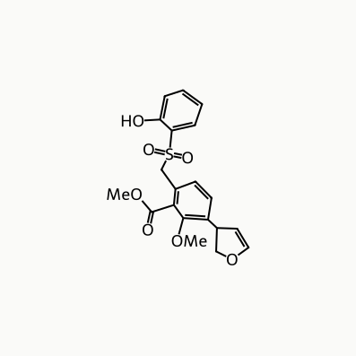 COC(=O)c1c(CS(=O)(=O)c2ccccc2O)ccc(C2C=COC2)c1OC